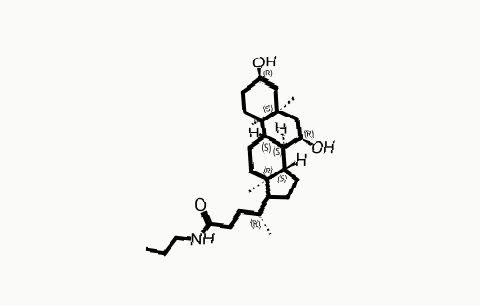 CCCNC(=O)CC[C@@H](C)C1CC[C@H]2[C@@H]3[C@H](O)C[C@]4(C)C[C@H](O)CC[C@]4(C)[C@H]3CC[C@]12C